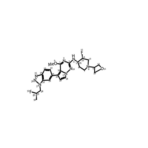 COc1nc(N[C@@H]2CCN(C3COC3)C[C@@H]2F)nn2ccc(-c3ccc4nnn(C[C@@H](C)F)c4c3)c12